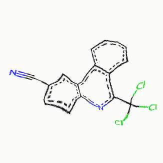 N#Cc1ccc2nc(C(Cl)(Cl)Cl)c3ccccc3c2c1